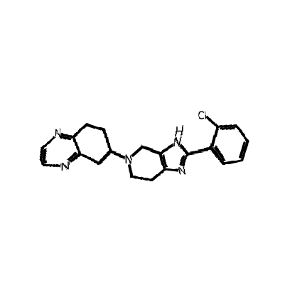 Clc1ccccc1-c1nc2c([nH]1)CN(C1CCc3nccnc3C1)CC2